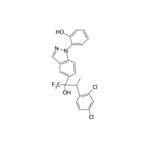 CC(c1ccc(Cl)cc1Cl)C(O)(c1ccc2c(cnn2-c2ccccc2O)c1)C(F)(F)F